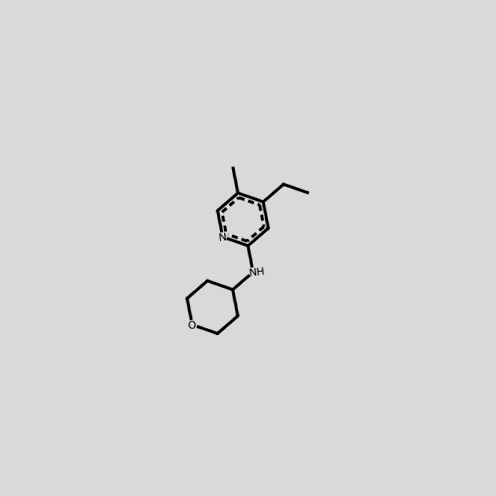 CCc1cc(NC2CCOCC2)ncc1C